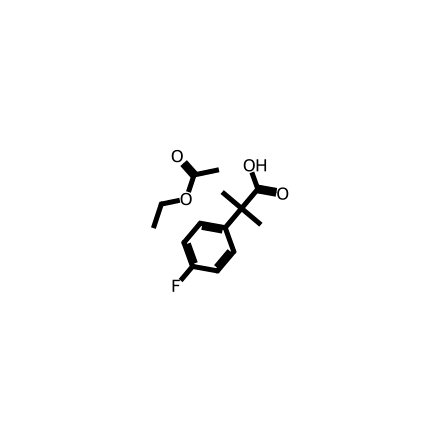 CC(C)(C(=O)O)c1ccc(F)cc1.CCOC(C)=O